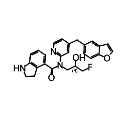 O=C(c1cccc2c1CCN2)N(C[C@@H](O)CF)c1cc(Cc2ccc3occc3c2)ccn1